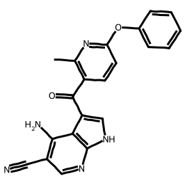 Cc1nc(Oc2ccccc2)ccc1C(=O)c1c[nH]c2ncc(C#N)c(N)c12